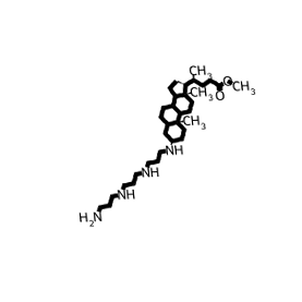 COC(=O)CC[C@@H](C)[C@H]1CCC2C3CCC4C[C@@H](NCCCNCCCNCCCN)CC[C@]4(C)C3CC[C@@]21C